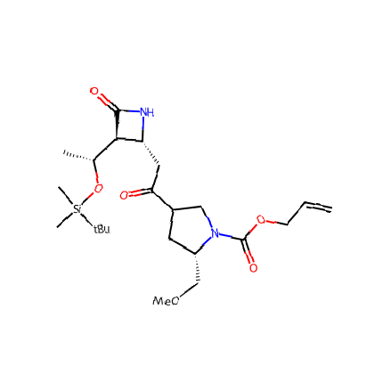 C=CCOC(=O)N1CC(C(=O)C[C@H]2NC(=O)[C@@H]2[C@@H](C)O[Si](C)(C)C(C)(C)C)C[C@H]1COC